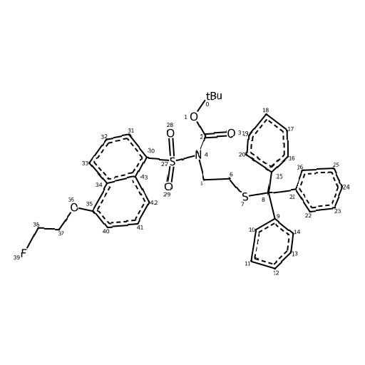 CC(C)(C)OC(=O)N(CCSC(c1ccccc1)(c1ccccc1)c1ccccc1)S(=O)(=O)c1cccc2c(OCCF)cccc12